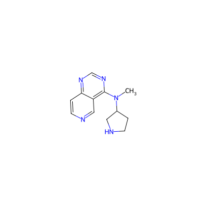 CN(c1ncnc2ccncc12)C1CCNC1